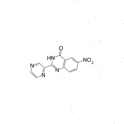 O=c1[nH]c(-c2cnccn2)nc2ccc([N+](=O)[O-])cc12